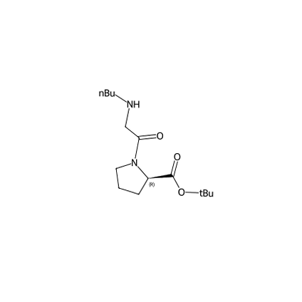 CCCCNCC(=O)N1CCC[C@@H]1C(=O)OC(C)(C)C